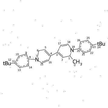 CC1C=C(C2=CCN(c3ccc(C(C)(C)C)cc3)C=C2)C=CN1c1ccc(C(C)(C)C)cc1